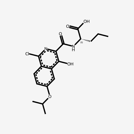 CCC[C@H](NC(=O)c1nc(Cl)c2ccc(OC(C)C)cc2c1O)C(=O)O